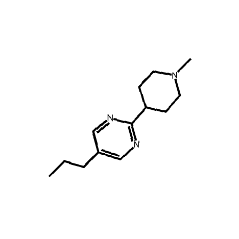 CCCc1cnc(C2CCN(C)CC2)nc1